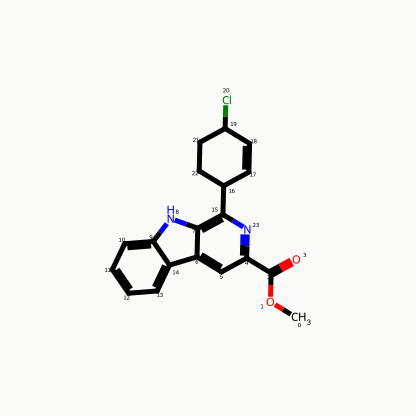 COC(=O)c1cc2c([nH]c3ccccc32)c(C2C=CC(Cl)CC2)n1